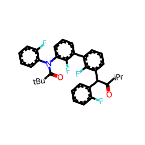 CC(C)C(=O)C(c1ccccc1F)c1cccc(-c2cccc(N(C(=O)C(C)(C)C)c3ccccc3F)c2F)c1F